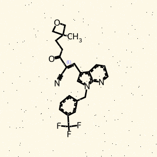 CC1(CCC(=O)/C(C#N)=C/c2cn(Cc3cccc(C(F)(F)F)c3)c3ncccc23)COC1